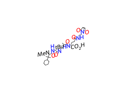 CN[C@H](C(=O)NC(C(=O)N(C)C/C=C(\C)C(=O)N[C@H](CCC(=O)NCCN1C(=O)C=CC1=O)C(=O)O)C(C)(C)C)C(C)(C)C1CCCCC1